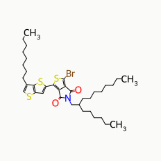 CCCCCCCCc1csc2cc(-c3sc(Br)c4c3C(=O)N(CC(CCCCCC)CCCCCCCC)C4=O)sc12